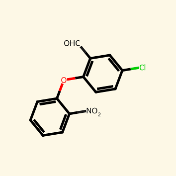 O=Cc1cc(Cl)ccc1Oc1ccccc1[N+](=O)[O-]